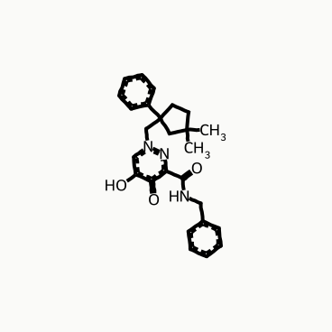 CC1(C)CCC(Cn2cc(O)c(=O)c(C(=O)NCc3ccccc3)n2)(c2ccccc2)C1